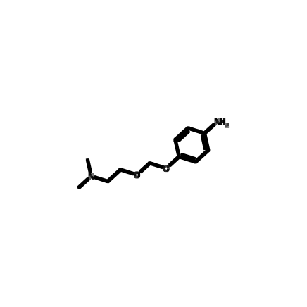 CN(C)CCOCOc1ccc(N)cc1